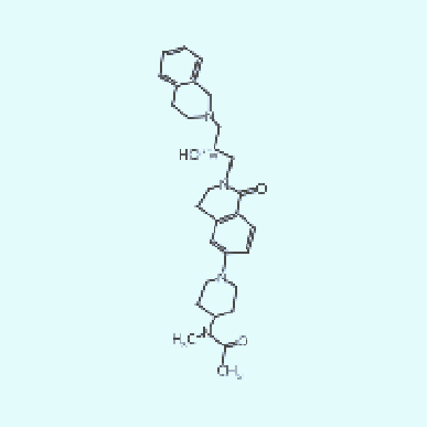 CC(=O)N(C)C1CCN(c2ccc3c(c2)CCN(C[C@H](O)CN2CCc4ccccc4C2)C3=O)CC1